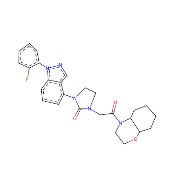 O=C1N(CC(=O)N2CCOC3CCCCC32)CCN1c1cccc2c1cnn2-c1ccccc1F